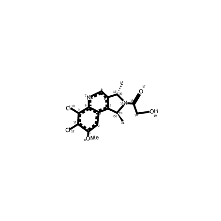 COc1cc2c3c(cnc2c(Cl)c1Cl)[C@H](C)N(C(=O)CO)[C@H]3C